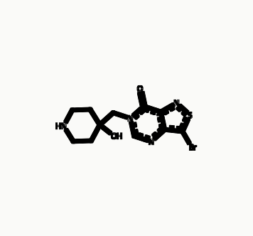 O=c1c2nsc(Br)c2ncn1CC1(O)CCNCC1